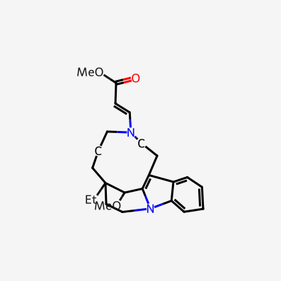 CCC12CCCN(/C=C/C(=O)OC)CCc3c(n(c4ccccc34)CC1)C2OC